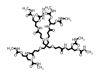 CNC(=O)OCC(COC(=O)NC)NC(=O)CCOCC(COCCC(=O)NCC(COC(=O)NC)OC(=O)NC)(COCCC(=O)NCC(COC(=O)NC)OC(=O)NC)COCCC(=O)NC(COC(=O)NC)COC(=O)NC